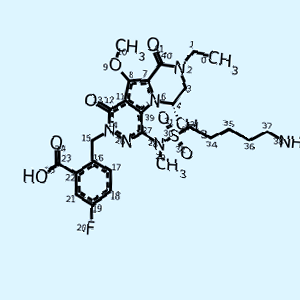 CCN1C[C@H](C)n2c(c(OC)c3c(=O)n(Cc4ccc(F)cc4C(=O)O)nc(N(C)S(=O)(=O)CCCCCN)c32)C1=O